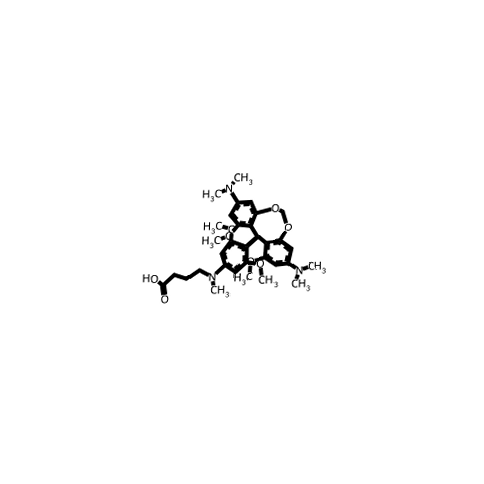 COc1cc(N(C)CCCC(=O)O)cc(OC)c1C1c2c(OC)cc(N(C)C)cc2OCOc2cc(N(C)C)cc(OC)c21